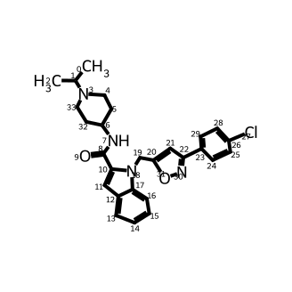 CC(C)N1CCC(NC(=O)c2cc3ccccc3n2Cc2cc(-c3ccc(Cl)cc3)no2)CC1